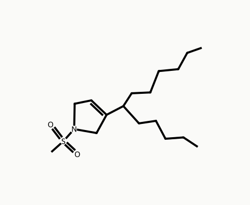 CCCCCCC(CCCCC)C1=CCN(S(C)(=O)=O)C1